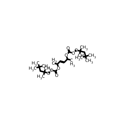 CC(/C=C/C(C)OC(=O)OOC(C)(C)CC(C)(C)C)OC(=O)OOC(C)(C)CC(C)(C)C